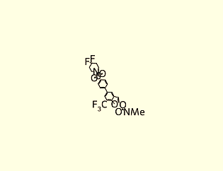 CNC(=O)Oc1cc2cc(-c3ccc(S(=O)(=O)N4CCC(F)(F)CC4)cc3)cc(C(F)(F)F)c2o1